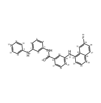 O=C(Nc1cccc(Nc2ccncc2)c1)c1ccnc(Nc2ccnc3ccc(F)cc23)c1